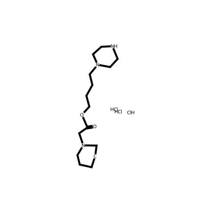 Cl.Cl.Cl.O=C(CN1CCCCC1)OCCCCN1CCNCC1